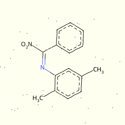 Cc1ccc(C)c(N=C(c2ccccc2)[N+](=O)[O-])c1